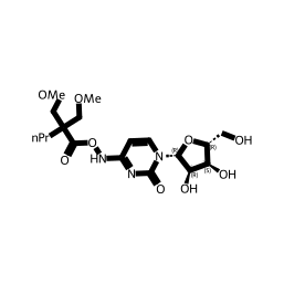 CCCC(COC)(COC)C(=O)ONc1ccn([C@@H]2O[C@H](CO)[C@@H](O)[C@H]2O)c(=O)n1